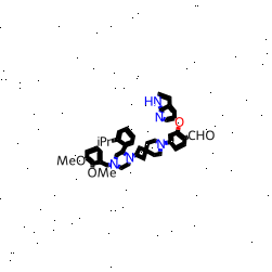 COc1cccc(CN2CCN(C3CC4(CCN(c5ccc(C=O)c(Oc6cnc7[nH]ccc7c6)c5)CC4)C3)C(c3ccccc3C(C)C)C2)c1OC